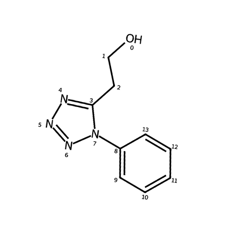 OCCc1nnnn1-c1ccccc1